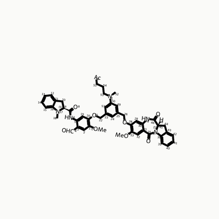 COc1cc(C=O)c(NC(=O)[C@@H]2Cc3ccccc3N2C)cc1OCc1cc(COc2cc3c(cc2OC)C(=O)N2c4ccccc4C[C@H]2C(=O)N3)cc(N(C)CCCC(C)=O)c1